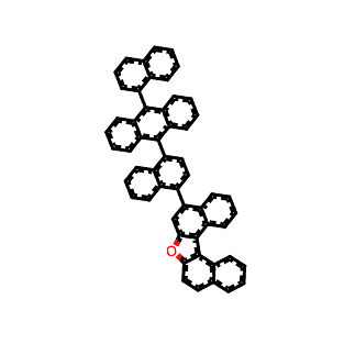 c1ccc2c(-c3c4ccccc4c(-c4ccc(-c5cc6oc7ccc8ccccc8c7c6c6ccccc56)c5ccccc45)c4ccccc34)cccc2c1